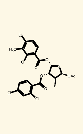 CC(=O)O[C@@H]1S[C@@H](OC(=O)c2ccc(Cl)c(C)c2Cl)[C@@H](OC(=O)c2ccc(Cl)cc2Cl)[C@@H]1F